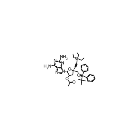 CC[Si](C#C[C@@]1(CO[Si](c2ccccc2)(c2ccccc2)C(C)(C)C)CC(OC(C)=O)[C@H](n2cnc3c(N)nc(N)nc32)O1)(CC)CC